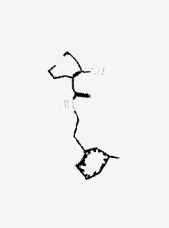 NC1=C(C(=O)NCCc2cccc(F)c2)CCCC1